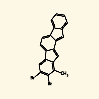 Cc1c(Br)c(Br)cc2c1C=c1c-2ccc2c1=Cc1ccccc1-2